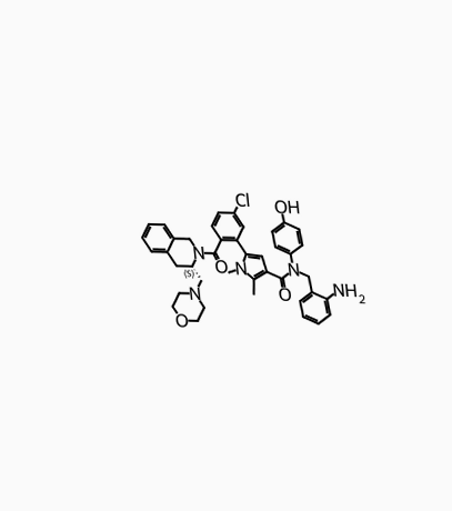 Cc1c(C(=O)N(Cc2ccccc2N)c2ccc(O)cc2)cc(-c2cc(Cl)ccc2C(=O)N2Cc3ccccc3C[C@H]2CN2CCOCC2)n1C